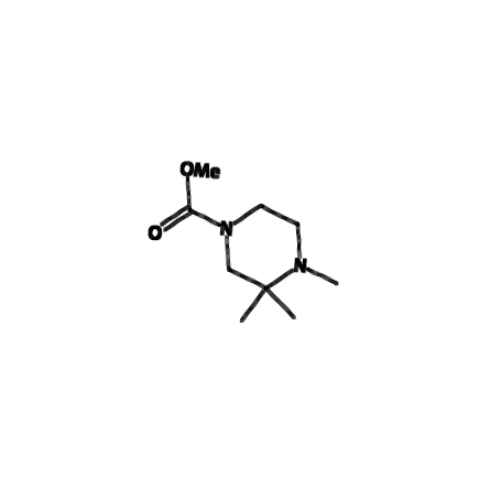 COC(=O)N1CCN(C)C(C)(C)C1